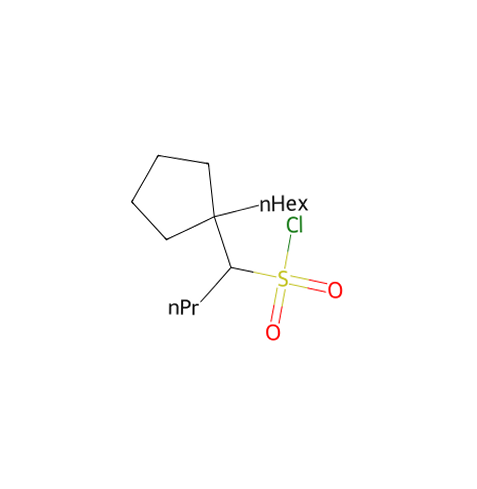 CCCCCCC1(C(CCC)S(=O)(=O)Cl)CCCC1